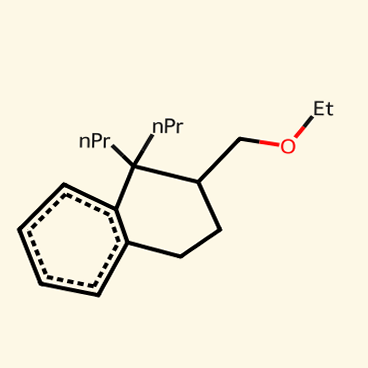 CCCC1(CCC)c2ccccc2CCC1COCC